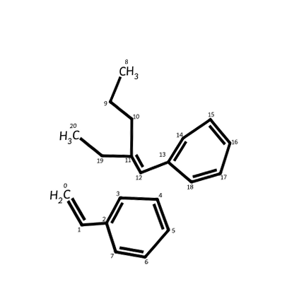 C=Cc1ccccc1.CCCC(=Cc1ccccc1)CC